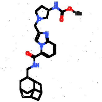 CC(C)(C)OC(=O)N[C@@H]1CCN(Cc2cn3c(C(=O)NCC45CC6CC7CC(C4)C7(C6)C5)cccc3n2)C1